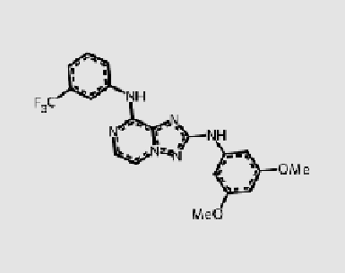 COc1cc(Nc2nc3c(Nc4cccc(C(F)(F)F)c4)nccn3n2)cc(OC)c1